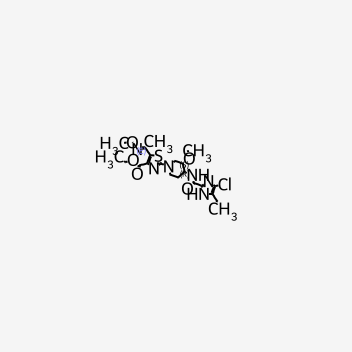 CCOC(=O)c1nc(N2CC[C@@H](NC(=O)c3nc(Cl)c(CC)[nH]3)[C@@H](OC)C2)sc1/C(C)=N/OC